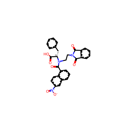 O=C(O)[C@H](Cc1ccccc1)N(CCN1C(=O)c2ccccc2C1=O)C(=O)c1cccc2cc([N+](=O)[O-])ccc12